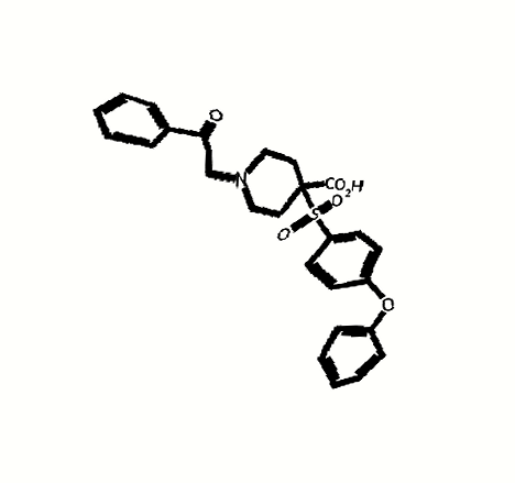 O=C(CN1CCC(C(=O)O)(S(=O)(=O)c2ccc(Oc3ccccc3)cc2)CC1)c1ccccc1